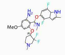 C/N=C(/OC1=C(F)C2C=C(C)NC2C(F)=C1)c1c(N)cc(OC)cc1O[C@@H]1CCN(C)CC1(F)F